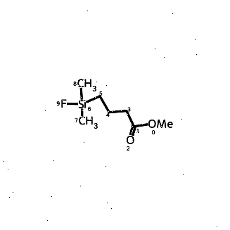 COC(=O)CCC[Si](C)(C)F